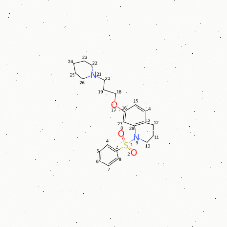 O=S(=O)(c1ccccc1)N1CCCc2ccc(OCCCN3CCCCC3)cc21